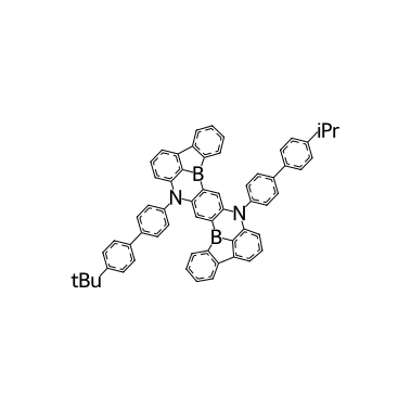 CC(C)c1ccc(-c2ccc(N3c4cc5c(cc4B4c6ccccc6-c6cccc3c64)N(c3ccc(-c4ccc(C(C)(C)C)cc4)cc3)c3cccc4c3B5c3ccccc3-4)cc2)cc1